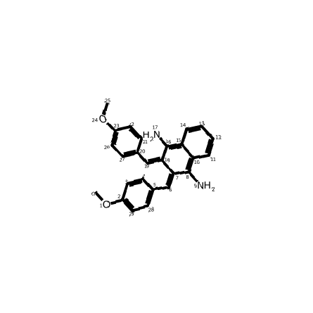 COc1ccc(C=c2c(N)c3ccccc3c(N)c2=Cc2ccc(OC)cc2)cc1